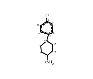 NC1CCN(c2ccc(F)cc2)CC1